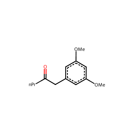 CCCC(=O)Cc1cc(OC)cc(OC)c1